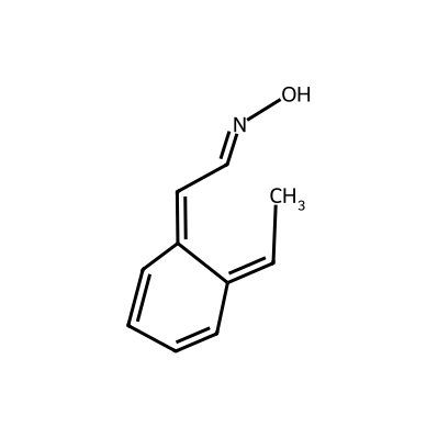 C/C=c1/cccc/c1=C/C=N/O